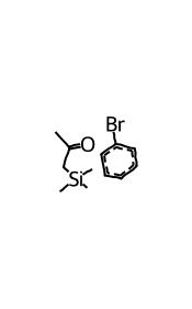 Brc1ccccc1.CC(=O)C[Si](C)(C)C